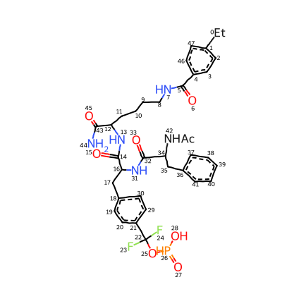 CCc1ccc(C(=O)NCCCCC(NC(=O)C(Cc2ccc(C(F)(F)O[PH](=O)O)cc2)NC(=O)C(Cc2ccccc2)NC(C)=O)C(N)=O)cc1